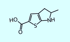 CC1Cc2cc(C(=O)O)sc2N1